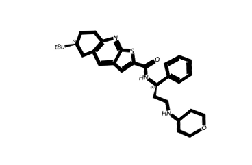 CC(C)(C)[C@H]1CCc2nc3sc(C(=O)N[C@H](CCNC4CCOCC4)c4ccccc4)cc3cc2C1